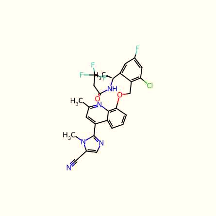 Cc1cc(-c2ncc(C#N)n2C)c2cccc(OCc3c(Cl)cc(F)cc3[C@H](C)NC(=O)CC(F)(F)F)c2n1